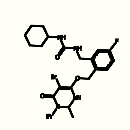 CC(C)N1C(=O)C(Br)=C(OCc2ccc(F)cc2CNC(=O)NC2CCCCC2)NC1C